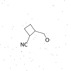 N#CC1CCC1C[O]